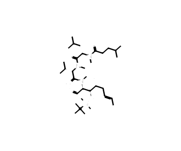 C/C=C/C[C@@H](C)[C@@H](O[Si](C)(C)C(C)(C)C)[C@@H](C=O)N(C)C(=O)[C@H](C(C)C)N(C)C(=O)[C@H](CC(C)C)N(C)C(=O)CCC(C)C